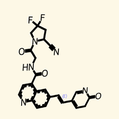 N#CC1CC(F)(F)CN1C(=O)CNC(=O)c1ccnc2ccc(/C=C/C3=CCC(=O)N=C3)cc12